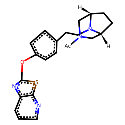 CC(=O)N1C[C@H]2CC[C@@H](C1)N2CCc1ccc(Oc2nc3cccnc3s2)cc1